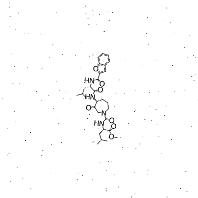 COC(=O)[C@@H](CC(C)C)NC(=O)N1CCC[C@H](NC(=O)[C@H](CC(C)C)NC(=O)c2cc3ccccc3o2)C(=O)C1